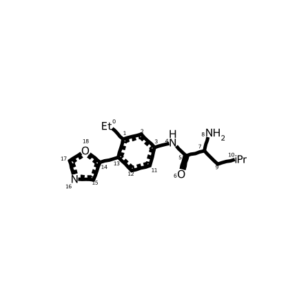 CCc1cc(NC(=O)C(N)CC(C)C)ccc1-c1cnco1